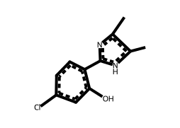 Cc1nc(-c2ccc(Cl)cc2O)[nH]c1C